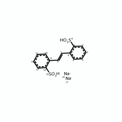 O=S(=O)(O)c1ccccc1C=Cc1ccccc1S(=O)(=O)O.[Na].[Na]